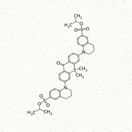 CC(C)OS(=O)(=O)c1ccc2c(c1)CCCN2c1ccc2c(c1)S(C)(C)c1cc(N3CCCc4cc(S(=O)(=O)OC(C)C)ccc43)ccc1C2=O